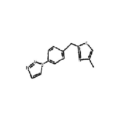 Cc1csc(Cc2ccc(-n3ccnn3)cc2)n1